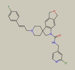 O=C(NCc1ccnc(Cl)c1)N1CC2(CCN(C/C=C/c3ccc(F)cc3)CC2)c2cc3c(cc21)COC3